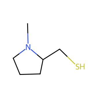 CN1CCCC1CS